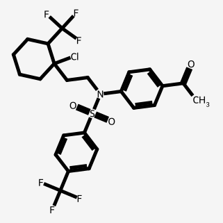 CC(=O)c1ccc(N(CCC2(Cl)CCCCC2C(F)(F)F)S(=O)(=O)c2ccc(C(F)(F)F)cc2)cc1